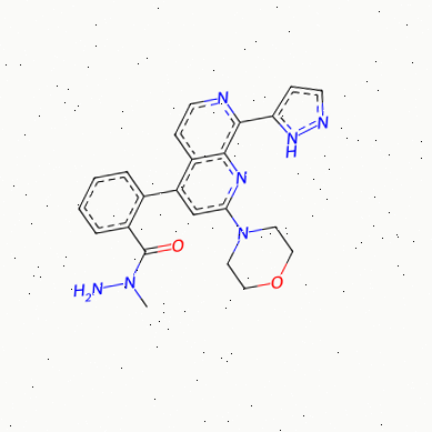 CN(N)C(=O)c1ccccc1-c1cc(N2CCOCC2)nc2c(-c3ccn[nH]3)nccc12